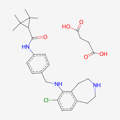 CC1(C)C(C(=O)Nc2ccc(CNc3c(Cl)ccc4c3CCNCC4)cc2)C1(C)C.O=C(O)CCC(=O)O